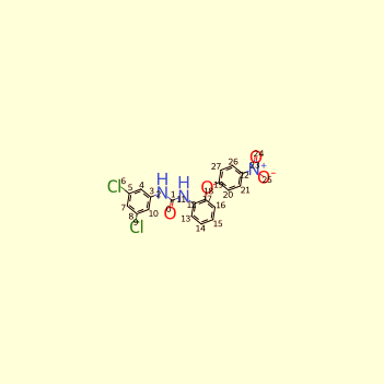 O=C(Nc1cc(Cl)cc(Cl)c1)Nc1ccccc1Oc1ccc([N+](=O)[O-])cc1